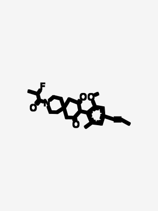 CC#Cc1cc(C)c(C2C(=O)CC3(CCN(C(=O)C(C)F)CC3)CC2=O)c(OC)c1